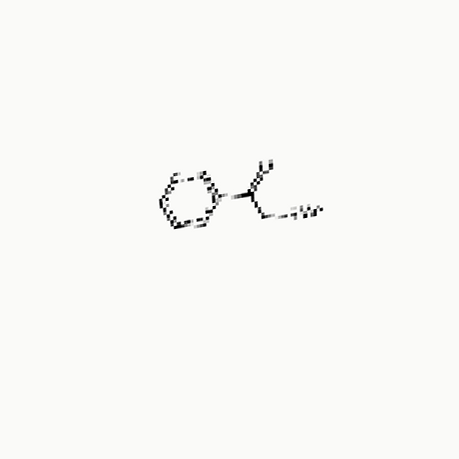 CSCC(=O)c1ccccc1